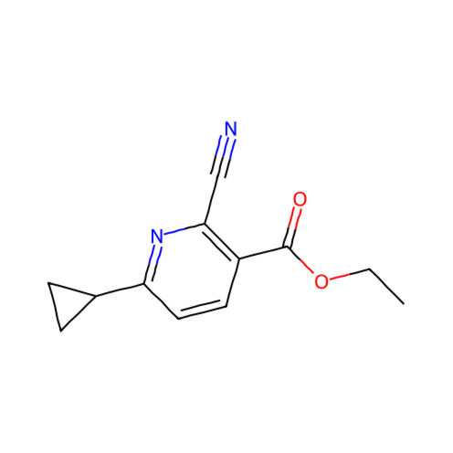 CCOC(=O)c1ccc(C2CC2)nc1C#N